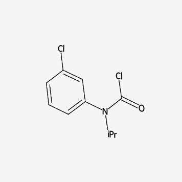 CC(C)N(C(=O)Cl)c1cccc(Cl)c1